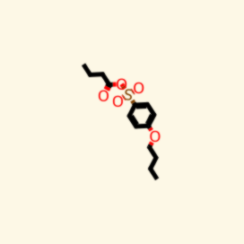 CCCCOc1ccc(S(=O)(=O)OC(=O)CCC)cc1